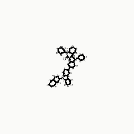 O=c1c2c3cc(-c4ccc5c(c4)c4ccccc4n5-c4ccc5ccccc5c4)ccc3n(-c3ccccc3)c2c2ccccc2n1-c1ccccc1